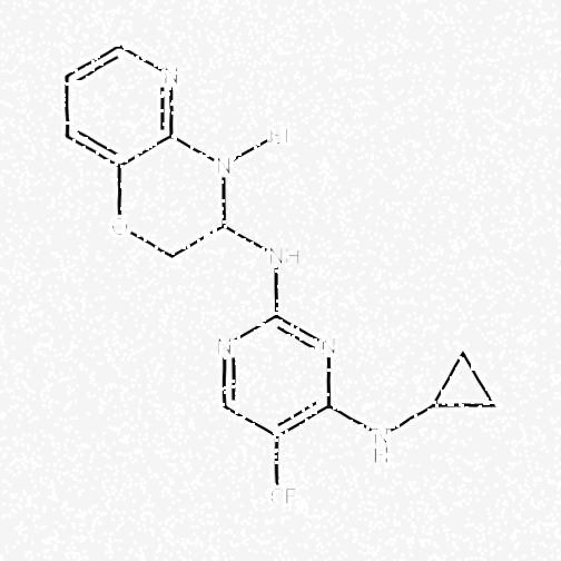 CCN1c2ncccc2OCC1Nc1ncc(C(F)(F)F)c(NC2CC2)n1